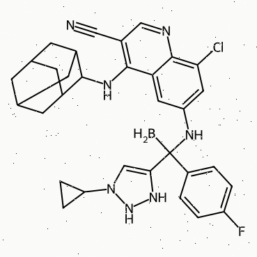 BC(Nc1cc(Cl)c2ncc(C#N)c(NC3C4CC5CC(C4)CC3C5)c2c1)(C1=CN(C2CC2)NN1)c1ccc(F)cc1